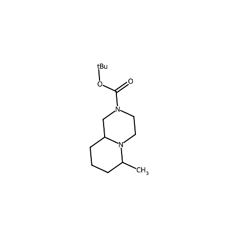 CC1CCCC2CN(C(=O)OC(C)(C)C)CCN12